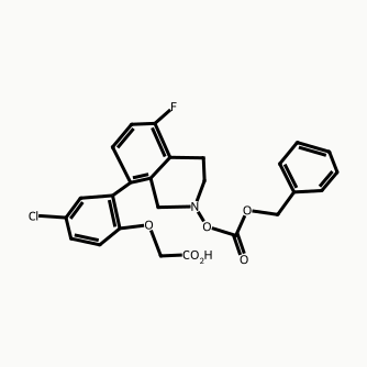 O=C(O)COc1ccc(Cl)cc1-c1ccc(F)c2c1CN(OC(=O)OCc1ccccc1)CC2